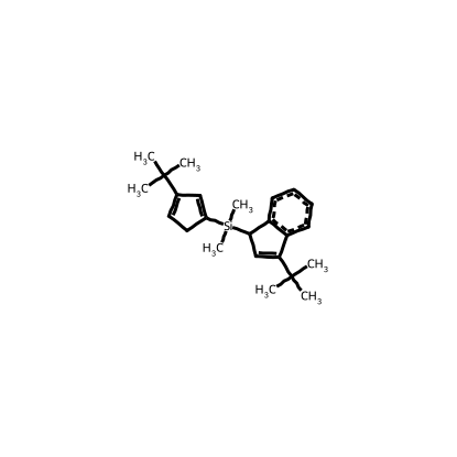 CC(C)(C)C1=CCC([Si](C)(C)C2C=C(C(C)(C)C)c3ccccc32)=C1